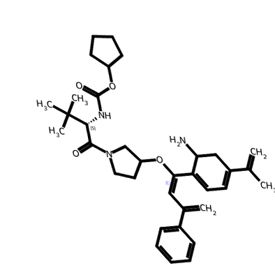 C=C(C)C1=CC=C(/C(=C\C(=C)c2ccccc2)OC2CCN(C(=O)[C@@H](NC(=O)OC3CCCC3)C(C)(C)C)C2)C(N)C1